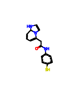 O=C(CC1=CC=CC2NC=CN12)Nc1ccc(S)cc1